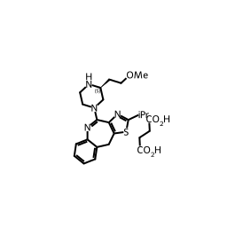 COCC[C@H]1CN(C2=Nc3ccccc3Cc3sc(C(C)C)nc32)CCN1.O=C(O)CCC(=O)O